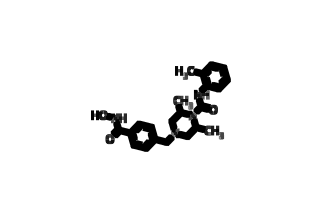 Cc1ccccc1NC(=O)N1C(C)CN(Cc2ccc(C(=O)NO)cc2)CC1C